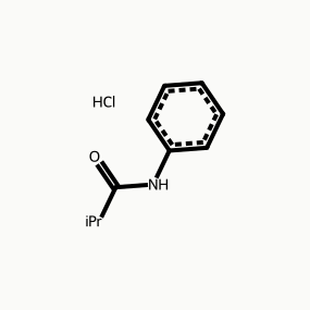 CC(C)C(=O)Nc1ccccc1.Cl